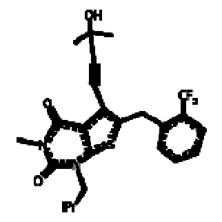 CC(C)Cn1c(=O)n(C)c(=O)c2c(C#CC(C)(C)O)c(Cc3ccccc3C(F)(F)F)sc21